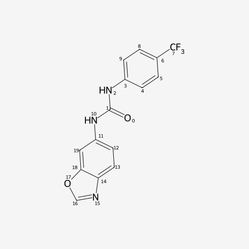 O=C(Nc1ccc(C(F)(F)F)cc1)Nc1ccc2ncoc2c1